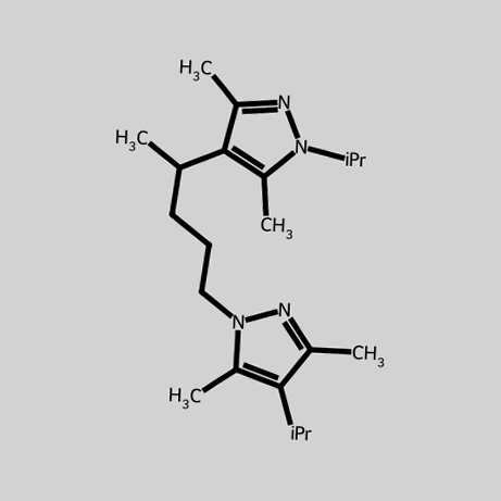 Cc1nn(CCCC(C)c2c(C)nn(C(C)C)c2C)c(C)c1C(C)C